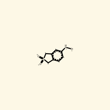 CCNc1ccc2c(c1)CS(=O)(=O)C2